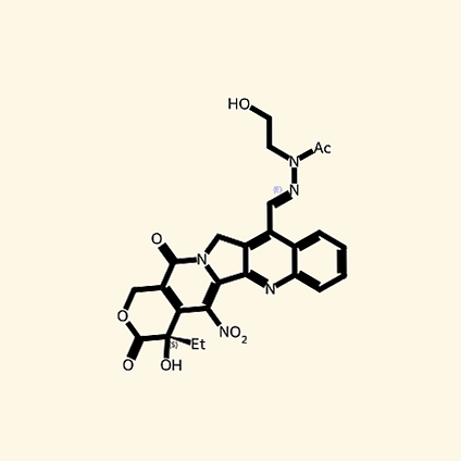 CC[C@@]1(O)C(=O)OCc2c1c([N+](=O)[O-])c1n(c2=O)Cc2c-1nc1ccccc1c2/C=N/N(CCO)C(C)=O